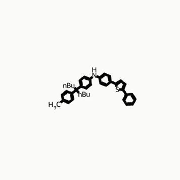 CCCCC(CCCC)(c1ccc(C)cc1)c1ccc(Nc2ccc(-c3ccc(-c4ccccc4)s3)cc2)cc1